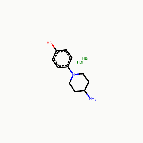 Br.Br.NC1CCN(c2ccc(O)cc2)CC1